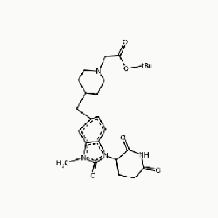 Cn1c(=O)n(C2CCC(=O)NC2=O)c2ccc(CC3CCN(CC(=O)OC(C)(C)C)CC3)cc21